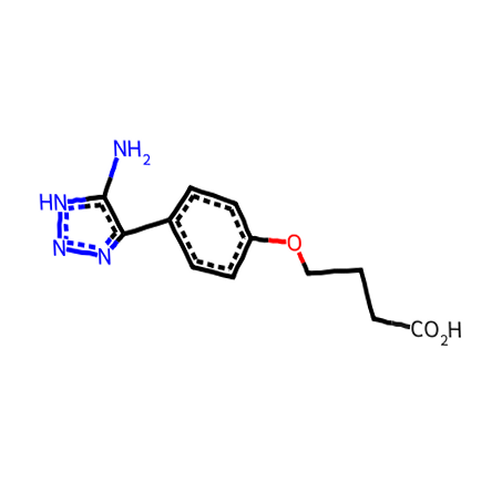 Nc1[nH]nnc1-c1ccc(OCCCC(=O)O)cc1